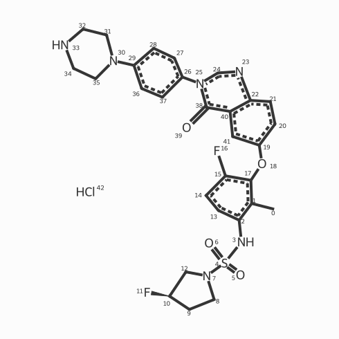 Cc1c(NS(=O)(=O)N2CC[C@@H](F)C2)ccc(F)c1Oc1ccc2ncn(-c3ccc(N4CCNCC4)cc3)c(=O)c2c1.Cl